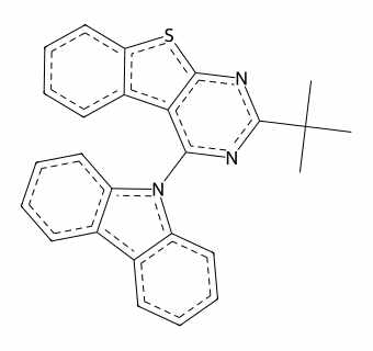 CC(C)(C)c1nc(-n2c3ccccc3c3ccccc32)c2c(n1)sc1ccccc12